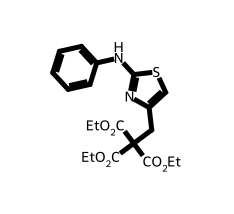 CCOC(=O)C(Cc1csc(Nc2ccccc2)n1)(C(=O)OCC)C(=O)OCC